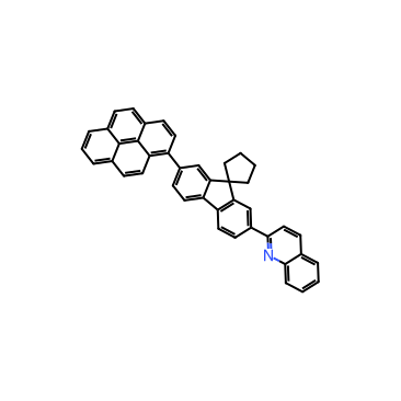 c1ccc2nc(-c3ccc4c(c3)C3(CCCC3)c3cc(-c5ccc6ccc7cccc8ccc5c6c78)ccc3-4)ccc2c1